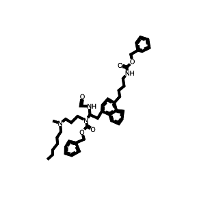 CCCCCCN(C)CCCN(C(=O)OCc1ccccc1)C(Cc1ccc(CCCCNC(=O)OCc2ccccc2)c2ccccc12)NC=O